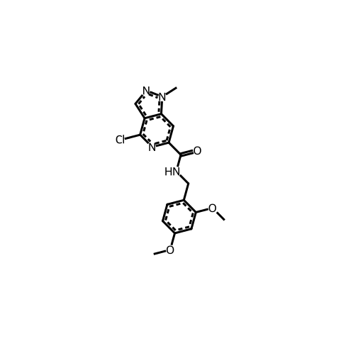 COc1ccc(CNC(=O)c2cc3c(cnn3C)c(Cl)n2)c(OC)c1